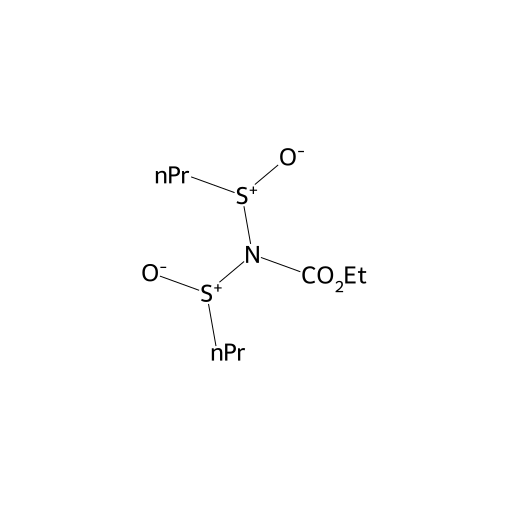 CCC[S+]([O-])N(C(=O)OCC)[S+]([O-])CCC